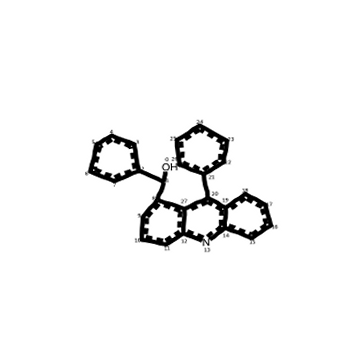 OC(c1ccccc1)c1cccc2nc3ccccc3c(-c3ccccc3)c12